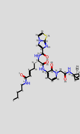 CCCCCNC(=O)/C=C/CC[C@H](NC(=O)c1cn2ccsc2n1)C(=O)Nc1cccn(CC(=O)NC23CC(C2)[C@@H]3C)c1=O